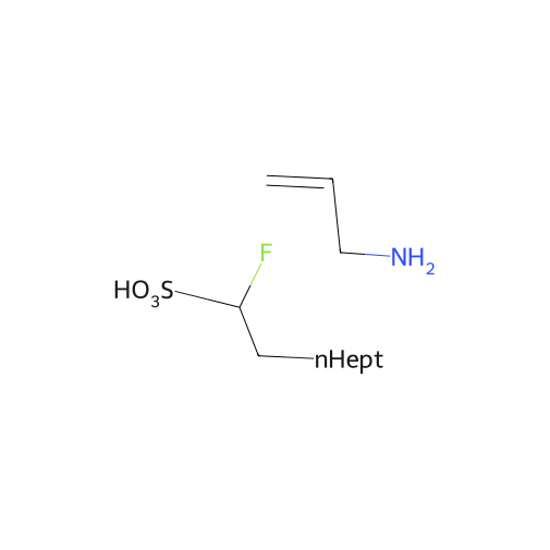 C=CCN.CCCCCCCCC(F)S(=O)(=O)O